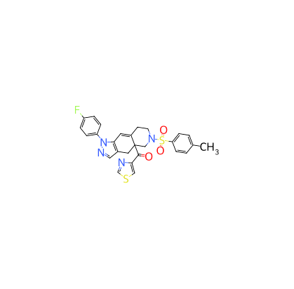 Cc1ccc(S(=O)(=O)N2CCC3=Cc4c(cnn4-c4ccc(F)cc4)CC3(C(=O)c3cscn3)C2)cc1